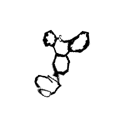 c1ccc2c(c1)Sc1ccccc1C1=C2CCC(N2CCOCC2)C1